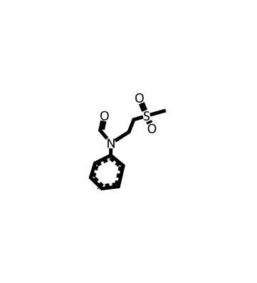 CS(=O)(=O)CCN(C=O)c1cc[c]cc1